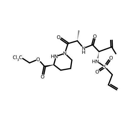 C=CCS(=O)(=O)N[C@@H](C(=C)C)C(=O)N[C@@H](C)C(=O)N1CCC[C@@H](C(=O)OCC(Cl)(Cl)Cl)N1